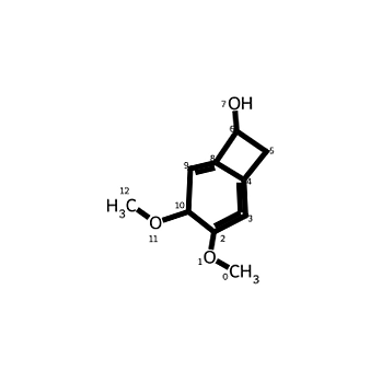 COC1=C=C2CC(O)C2=CC1OC